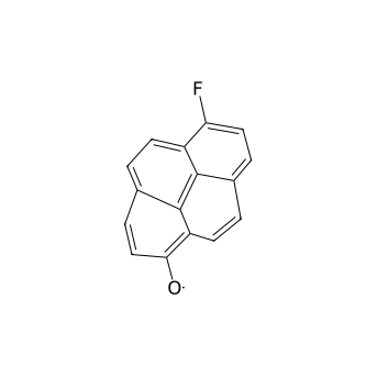 [O]c1ccc2ccc3c(F)ccc4ccc1c2c43